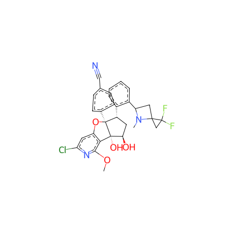 COc1nc(Cl)cc2c1[C@]1(O)[C@H](O)C[C@@H](c3ccccc3C3CC4(CC4(F)F)N3C)[C@]1(c1ccc(C#N)cc1)O2